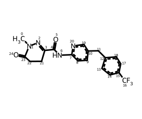 CN1N=C(C(=O)Nc2ccc(Cc3ccc(C(F)(F)F)cc3)cn2)CCC1=O